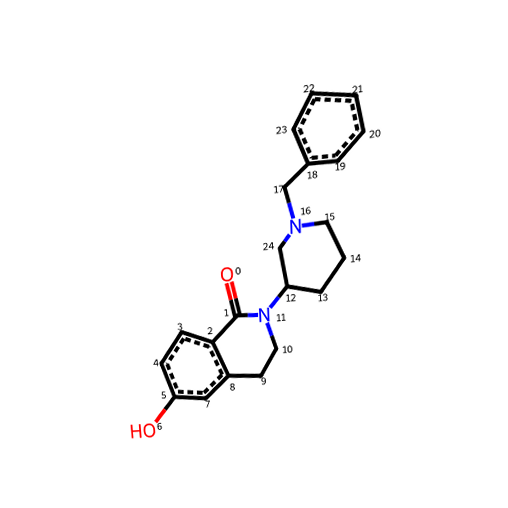 O=C1c2ccc(O)cc2CCN1C1CCCN(Cc2ccccc2)C1